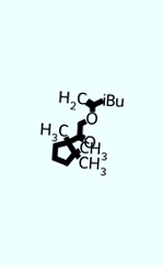 C=C(OCC(=O)C1(C)CCCC1(C)C)C(C)CC